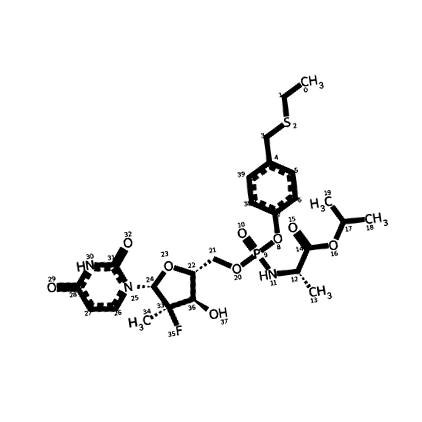 CCSCc1ccc(OP(=O)(N[C@@H](C)C(=O)OC(C)C)OC[C@H]2O[C@@H](n3ccc(=O)[nH]c3=O)[C@](C)(F)[C@@H]2O)cc1